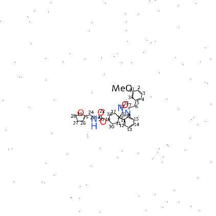 COc1cccc(Cc2nc(C3(c4ccccc4)CCC(OC(=O)NCC4CCCO4)CC3)no2)c1